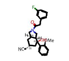 COc1ccccc1[C@]1(O)C[C@H](CC#N)C[C@H]2CN(C(=O)Cc3cccc(F)c3)C[C@H]21